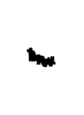 CNC(=O)n1ccc2cc(Oc3ccnc(NC(=O)/C(C=N)=C/NC4CCN(C(C)C)CC4)c3)c(OC)cc21